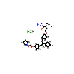 CC(CCOc1ccc(Cc2c(-c3ccc(OCCN4CCCC4)cc3)sc3ccccc23)cc1)C(N)=O.Cl